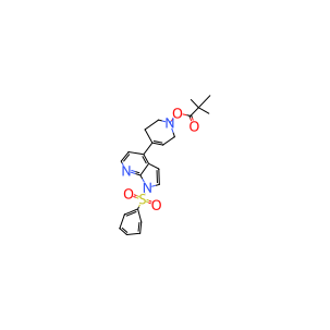 CC(C)(C)C(=O)ON1CC=C(c2ccnc3c2ccn3S(=O)(=O)c2ccccc2)CC1